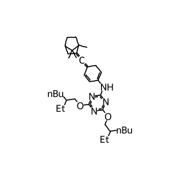 CCCCC(CC)COc1nc(NC2=CCC(=C=C3CC4CCC3(C)C4(C)C)C=C2)nc(OCC(CC)CCCC)n1